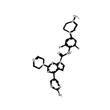 CN1CCN(c2cc(F)c(NC(=O)n3ccc4c(-c5cnc(N)nc5)nc(N5CCOCC5)nc43)c(F)c2)CC1